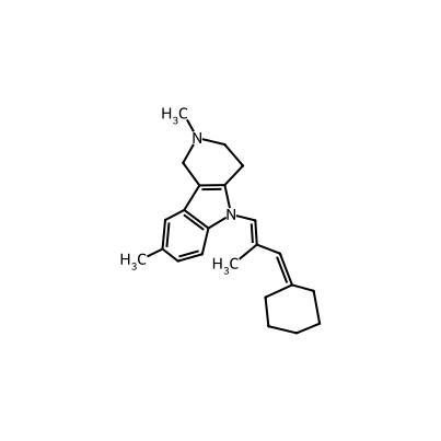 C/C(C=C1CCCCC1)=C\n1c2c(c3cc(C)ccc31)CN(C)CC2